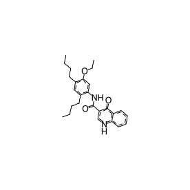 CCCCc1cc(CCCC)c(OCC)cc1NC(=O)c1c[nH]c2ccccc2c1=O